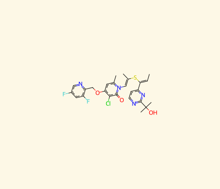 C/C=C(\S/C(C)=C/n1c(C)cc(OCc2ncc(F)cc2F)c(Cl)c1=O)c1ccnc(C(C)(C)O)n1